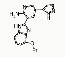 CCOc1cccc2[nH]c(-c3cc(-c4ccn[nH]4)cnc3N)nc12